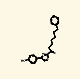 O=C(CCCCCCc1ccccc1)c1ncc(-c2ccc(O)cc2)o1